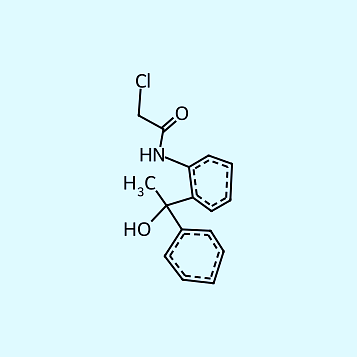 CC(O)(c1ccccc1)c1ccccc1NC(=O)CCl